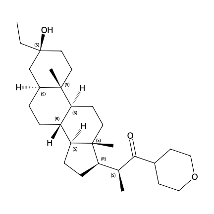 CC[C@]1(O)CC[C@@]2(C)[C@@H](CC[C@@H]3[C@@H]2CC[C@]2(C)[C@@H]([C@H](C)C(=O)C4CCOCC4)CC[C@@H]32)C1